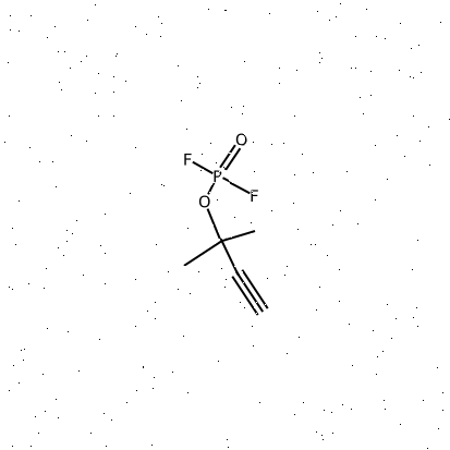 C#CC(C)(C)OP(=O)(F)F